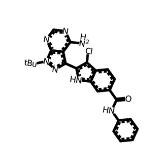 CC(C)(C)n1nc(-c2[nH]c3cc(C(=O)Nc4ccccc4)ccc3c2Cl)c2c(N)ncnc21